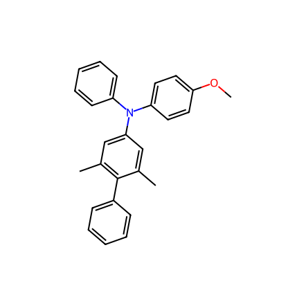 COc1ccc(N(c2ccccc2)c2cc(C)c(-c3ccccc3)c(C)c2)cc1